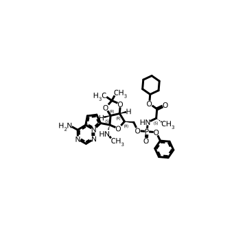 CN[C@@]1(c2ccc3c(N)ncnn23)O[C@H](COP(=O)(N[C@@H](C)C(=O)OC2CCCCC2)Oc2ccccc2)[C@H]2OC(C)(C)O[C@H]21